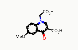 COc1ccc2c(c1)c(=O)c(C(=O)O)cn2CC(=O)O